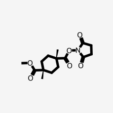 COC(=O)[C@]1(C)CC[C@](C)(C(=O)ON2C(=O)CCC2=O)CC1